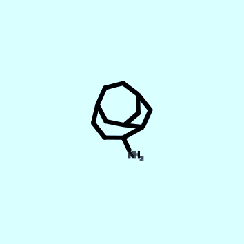 NC1CCC2CCC3CC(C2)C1C3